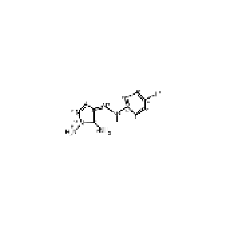 NC1C(=NNc2ccc(I)cc2)C=NN1N